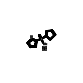 Cl.Cl.[CH2]=[Ti]([C]1=CC=CC1)([c]1ccc[nH]1)[C](C)(C)C